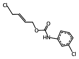 O=C(Nc1cccc(Cl)c1)OCC=CCCl